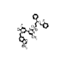 Cc1cc(-c2cc(F)c(=O)n(Cc3ccc4c(c3)OCN4C)c2)nc(S(=O)(=O)CCC(OCc2ccccc2F)c2ccccc2)n1